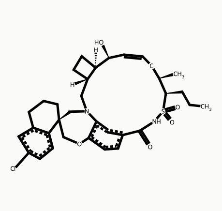 CCC[C@@H]1[C@H](C)C/C=C\[C@H](O)[C@@H]2CC[C@H]2CN2C[C@@]3(CCCc4cc(Cl)ccc43)COc3ccc(cc32)C(=O)NS1(=O)=O